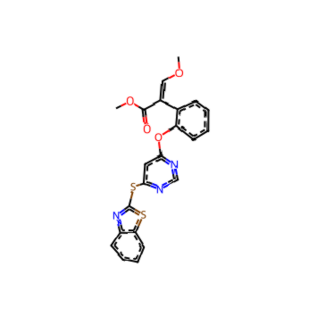 CO/C=C(/C(=O)OC)c1ccccc1Oc1cc(Sc2nc3ccccc3s2)ncn1